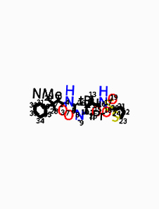 CN[C@H](C(=O)N[C@H](C(=O)N(C)[C@H](C=C(C)C(=O)NS(=O)(=O)c1cccs1)C(C)C)C(C)(C)C)C(C)(C)c1ccccc1